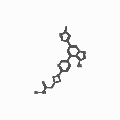 CC(C)NC(=O)CC1CN(c2ccc(-c3cc(-c4cnn(C)c4)cn4ncc(C#N)c34)cn2)C1